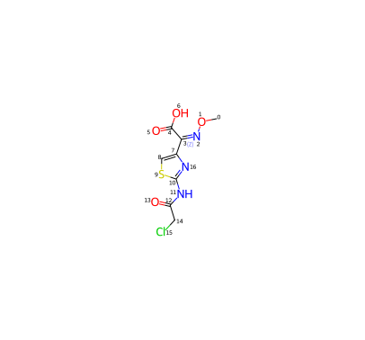 CO/N=C(\C(=O)O)c1csc(NC(=O)CCl)n1